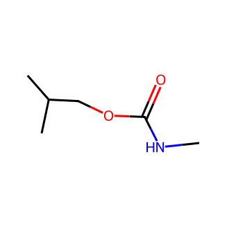 CNC(=O)OCC(C)C